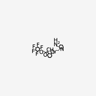 Cc1c(COc2c(F)c(F)c(F)c(F)c2F)oc2cccc(OCCCc3ncccc3CN)c12